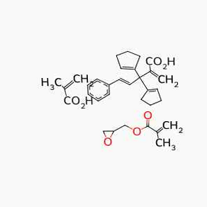 C=C(C(=O)O)C(C=Cc1ccccc1)(C1=CCCC1)C1=CCCC1.C=C(C)C(=O)O.C=C(C)C(=O)OCC1CO1